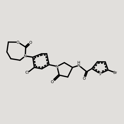 O=C(NC1CC(=O)N(c2ccc(N3CCCCOC3=O)c(Cl)c2)C1)c1ccc(Br)s1